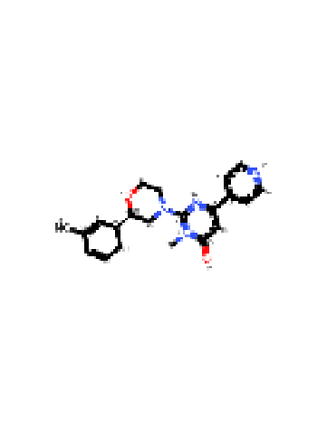 Cn1c(N2CCO[C@H](C3C=C(C#N)C=CC3)C2)nc(-c2ccncc2)cc1=O